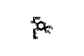 CC1(C)C[C@H](N=[N+]=N)[C@H](NC(=O)[O-])CO1